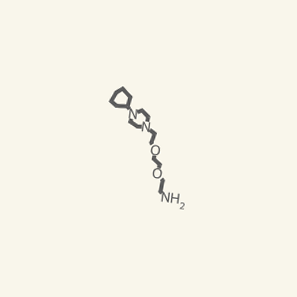 NCCOCCOCCN1CCN(C2CCCCC2)CC1